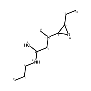 CCCNC(O)CN(C)C1OC1CC